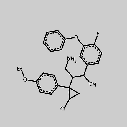 CCOc1ccc(C2(C(CN)C(C#N)c3ccc(F)c(Oc4ccccc4)c3)CC2Cl)cc1